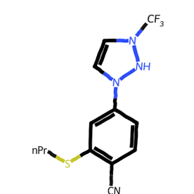 CCCSc1cc(N2C=CN(C(F)(F)F)N2)ccc1C#N